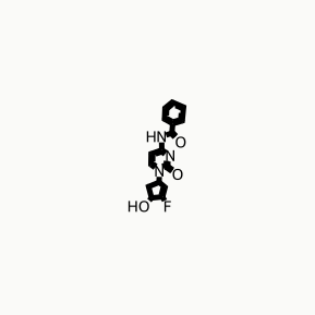 O=C(Nc1ccn(C2C=C(F)C(O)C2)c(=O)n1)c1ccccc1